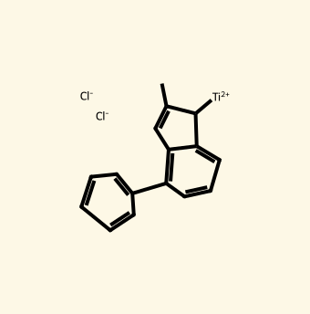 CC1=Cc2c(-c3ccccc3)cccc2[CH]1[Ti+2].[Cl-].[Cl-]